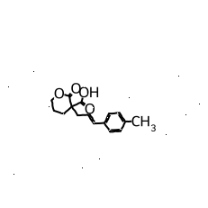 Cc1ccc(C=CCC2(C(=O)O)CCCOC2=O)cc1